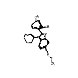 COOCc1ccc2c(C3CCCCC3)c(-c3ccc(C)cc3N)[nH]c2c1